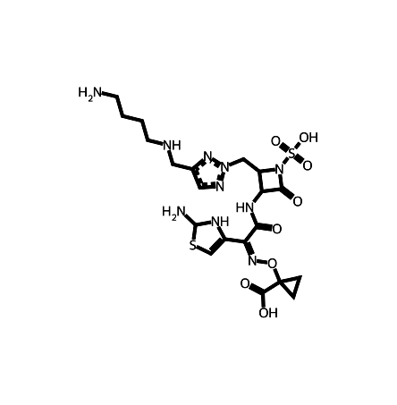 NCCCCNCc1cnn(CC2C(NC(=O)/C(=N\OC3(C(=O)O)CC3)C3=CSC(N)N3)C(=O)N2S(=O)(=O)O)n1